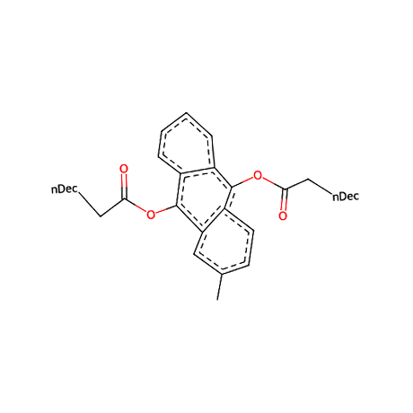 CCCCCCCCCCCC(=O)Oc1c2ccccc2c(OC(=O)CCCCCCCCCCC)c2cc(C)ccc12